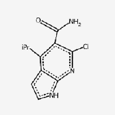 CC(C)c1c(C(N)=O)c(Cl)nc2[nH]ccc12